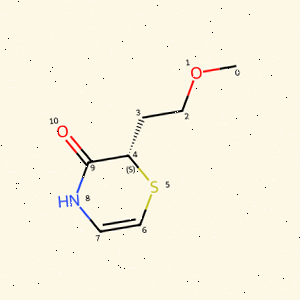 COCC[C@@H]1SC=CNC1=O